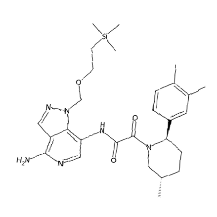 Cc1ccc([C@H]2CC[C@H](C)CN2C(=O)C(=O)Nc2cnc(N)c3cnn(COCC[Si](C)(C)C)c23)cc1C